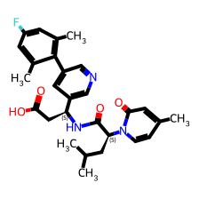 Cc1ccn([C@@H](CC(C)C)C(=O)N[C@@H](CC(=O)O)c2cncc(-c3c(C)cc(F)cc3C)c2)c(=O)c1